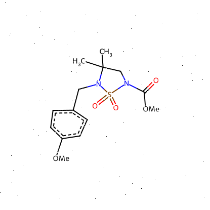 COC(=O)N1CC(C)(C)N(Cc2ccc(OC)cc2)S1(=O)=O